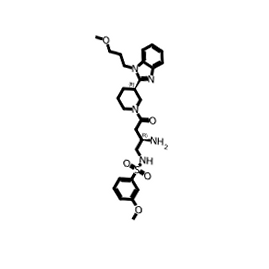 COCCCn1c([C@@H]2CCCN(C(=O)C[C@@H](N)CNS(=O)(=O)c3cccc(OC)c3)C2)nc2ccccc21